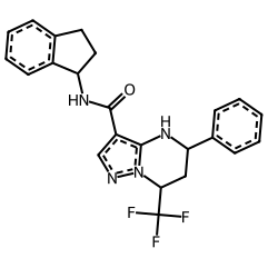 O=C(NC1CCc2ccccc21)c1cnn2c1NC(c1ccccc1)CC2C(F)(F)F